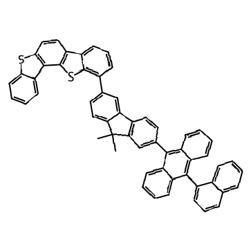 CC1(C)c2ccc(-c3cccc4c3sc3c4ccc4sc5ccccc5c43)cc2-c2ccc(-c3c4ccccc4c(-c4cccc5ccccc45)c4ccccc34)cc21